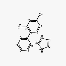 Clc1ccc(-c2n[c]ccc2-c2ncc[nH]2)c(Cl)c1